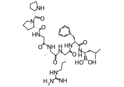 CC(C)C[C@H](NC(=O)[C@H](Cc1ccccc1)NC(=O)[C@H](CCCNC(=N)N)NC(=O)[C@H](C)NC(=O)CNC(=O)[C@@H]1CCCN1C(=O)[C@@H]1CCCN1)B(O)O